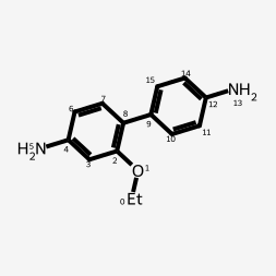 CCOc1cc(N)ccc1-c1ccc(N)cc1